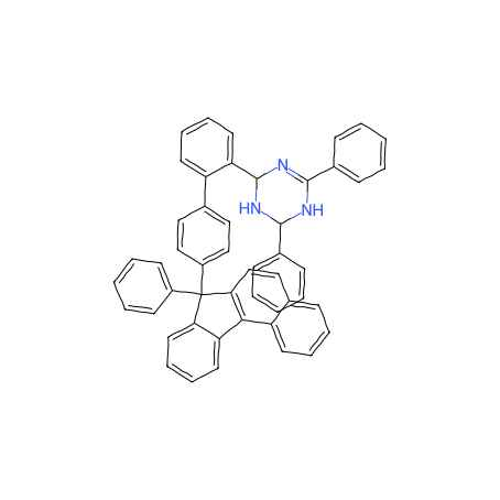 c1ccc(C2=NC(c3ccccc3-c3ccc(C4(c5ccccc5)c5ccccc5-c5c4ccc4ccccc54)cc3)NC(c3ccccc3)N2)cc1